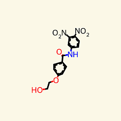 O=C(Nc1ccc([N+](=O)[O-])c([N+](=O)[O-])c1)c1ccc(OCCO)cc1